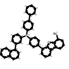 CC(C)(C)c1cccc2c1oc1c(-c3ccc(N(c4ccc(-c5ccccc5)cc4)c4cccc(-c5cccc6ccccc56)c4)cc3)cccc12